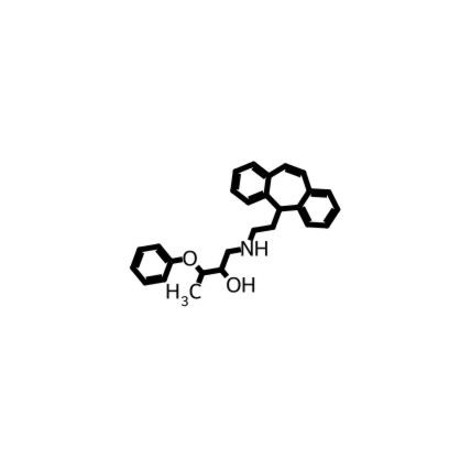 CC(Oc1ccccc1)C(O)CNCCC1c2ccccc2C=Cc2ccccc21